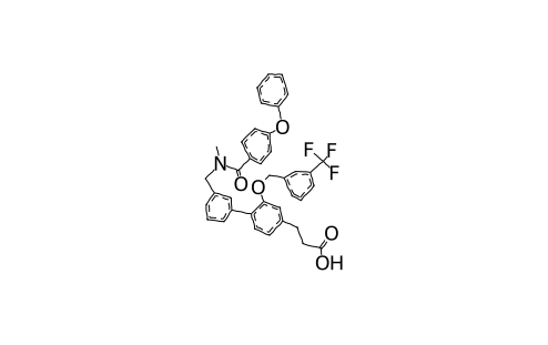 CN(Cc1cccc(-c2ccc(CCC(=O)O)cc2OCc2cccc(C(F)(F)F)c2)c1)C(=O)c1ccc(Oc2ccccc2)cc1